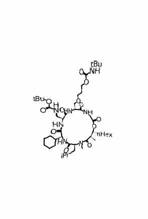 CCCCCC[C@H]1OC(=O)CNC(=O)[C@H](COCCCOC(=O)NC(C)(C)C)NC(=O)[C@H](CNC(=O)OC(C)(C)C)NC(=O)[C@H](C2CCCCC2)NC(=O)[C@H](CC(C)C)N(C)C(=O)[C@@H]1C